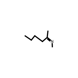 CCCC/C(C)=N\C